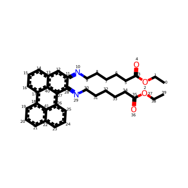 CCOC(=O)CCCCCN=c1cc2cccc3c4cccc5cccc(c(c1=NCCCCCC(=O)OCC)c23)c54